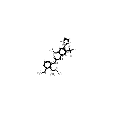 COc1cncc(NC(=O)Nc2cc(C(F)(F)F)c(-n3nccn3)nc2OC)c1[C@@H](C)OC